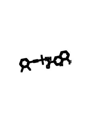 Cc1cccc(C#CC(C)(C)NC(=O)c2cnc3c(F)cccc3c2)c1C